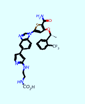 C[C@@H](Oc1cc(-n2cnc3cc(-c4ccnc(NCCNC(=O)O)c4)ccc32)sc1C(N)=O)c1ccccc1C(F)(F)F